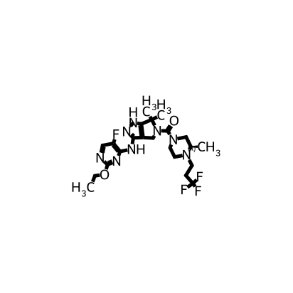 CCOc1ncc(F)c(Nc2n[nH]c3c2CN(C(=O)N2CCN(CCC(F)(F)F)[C@H](C)C2)C3(C)C)n1